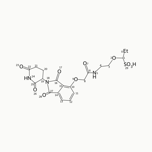 CCC(OCCNC(=O)COc1cccc2c1C(=O)N(C1CCC(=O)NC1=O)C2=O)S(=O)(=O)O